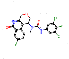 CN(C(=O)Nc1cc(Cl)c(F)c(Cl)c1)[C@@H]1COCc2[nH]c(=O)c3cc(F)ccc3c21